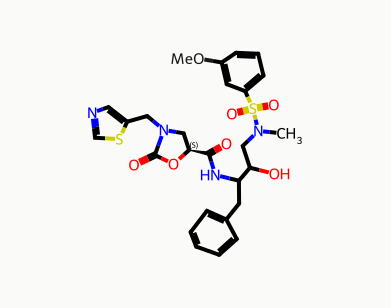 COc1cccc(S(=O)(=O)N(C)CC(O)C(Cc2ccccc2)NC(=O)[C@@H]2CN(Cc3cncs3)C(=O)O2)c1